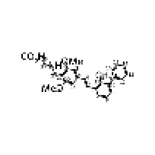 COc1cc(C=Cc2cccc(-c3ccccc3)c2C)cc(OC)c1CNCC(=O)O